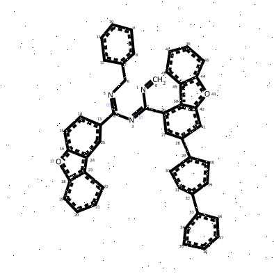 C=N/C(=N\C(=N/Cc1ccccc1)c1ccc2oc3ccccc3c2c1)c1cc(-c2ccc(-c3ccccc3)cc2)cc2oc3ccccc3c12